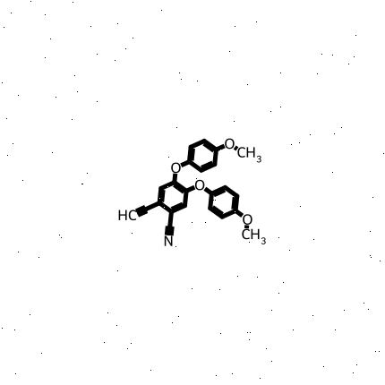 C#Cc1cc(Oc2ccc(OC)cc2)c(Oc2ccc(OC)cc2)cc1C#N